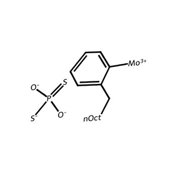 CCCCCCCCCc1cccc[c]1[Mo+3].[O-]P([O-])(=S)[S-]